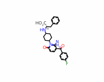 Nc1c(C(=O)c2ccc(F)cc2)ccc(=O)n1C1CCC(N[C@@H](Cc2ccccc2)C(=O)O)CC1